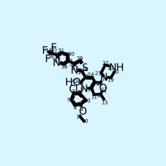 CCOc1ccc(Cl)c(N2C(CC(C)C)=C(C(=O)N3CCNCC3)C=C(c3nc(-c4ccc(C(F)(F)F)nc4)cs3)C2O)c1